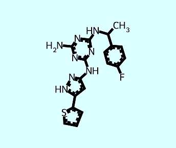 CC(Nc1nc(N)nc(Nc2cc(-c3cccs3)[nH]n2)n1)c1ccc(F)cc1